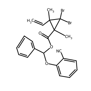 C=CC1(C)C(Br)(Br)C1(C)C(=O)OC(Oc1ccccc1C#N)c1ccccc1